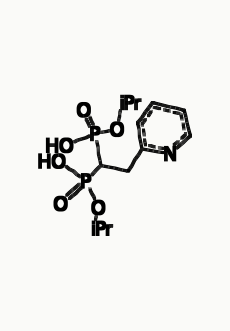 CC(C)OP(=O)(O)C(Cc1ccccn1)P(=O)(O)OC(C)C